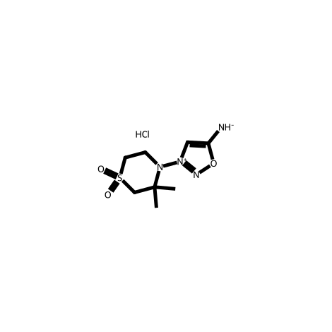 CC1(C)CS(=O)(=O)CCN1[n+]1cc([NH-])on1.Cl